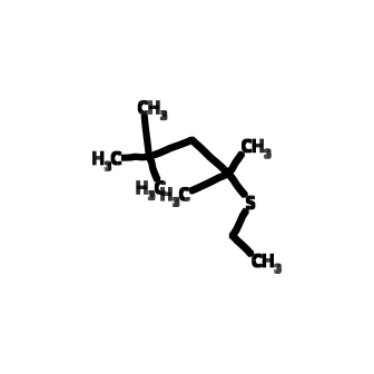 CCSC(C)(C)CC(C)(C)C